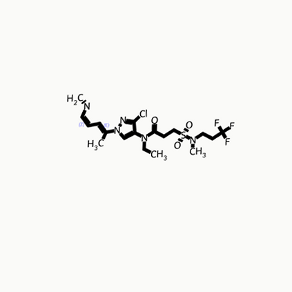 C=N/C=C\C=C(/C)n1cc(N(CC)C(=O)CCS(=O)(=O)N(C)CCC(F)(F)F)c(Cl)n1